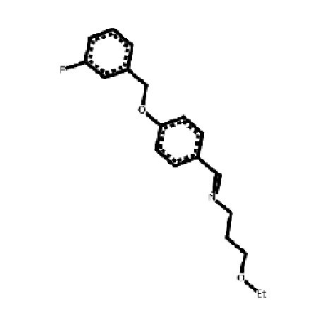 CCOCCC/N=C/c1ccc(OCc2cccc(F)c2)cc1